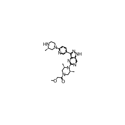 COCC(=O)N1C[C@@H](C)N(c2ncc3[nH]nc(-c4ccc(N5CCN[C@H](C)C5)nc4)c3n2)[C@@H](C)C1